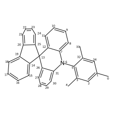 Cc1cc(C)c(N2c3ccccc3C3(c4ccccc4-c4ccccc43)c3ccccc32)c(C)c1